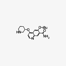 CCC(C)Oc1cc2c(OC3CCCNC3)ccnc2cc1C(N)=O